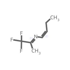 CC/C=C\N=C(/C)C(F)(F)F